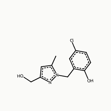 Cc1cc(CO)nn1Cc1cc(Cl)ccc1O